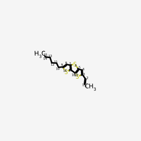 CC=Cc1cc2sc3cc(CCCCCC)sc3c2s1